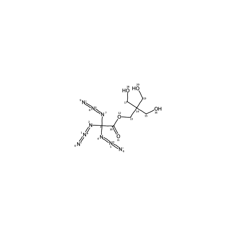 [N-]=[N+]=NC(N=[N+]=[N-])(N=[N+]=[N-])C(=O)OCC(CO)(CO)CO